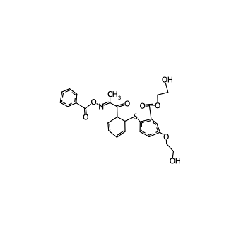 C/C(=N\OC(=O)c1ccccc1)C(=O)C1C=CC=CC1Sc1ccc(OCCO)cc1C(=O)OCCO